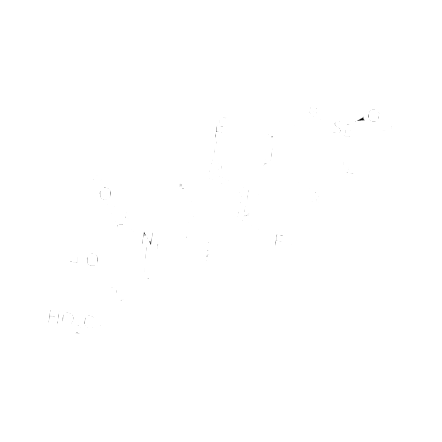 O=C(O)[C@H]1CN(c2cc(F)c([C@H]3CC[S@+]([O-])CC3)c(F)c2)C(=O)O1